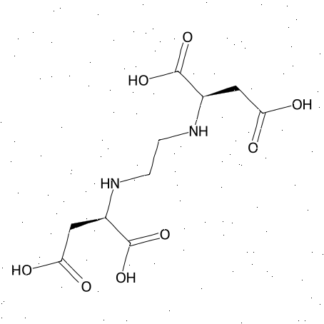 O=C(O)C[C@@H](NCCN[C@H](CC(=O)O)C(=O)O)C(=O)O